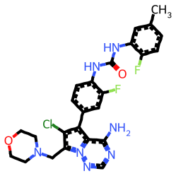 Cc1ccc(F)c(NC(=O)Nc2ccc(-c3c(Cl)c(CN4CCOCC4)n4ncnc(N)c34)cc2F)c1